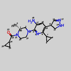 CCC[C@@H]1CN(c2nc(C3CC3)c(C3C=NNC3)cc2N)CCN1C(=O)C1CC1